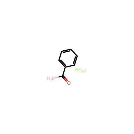 BC(=O)c1ccccc1.F.F